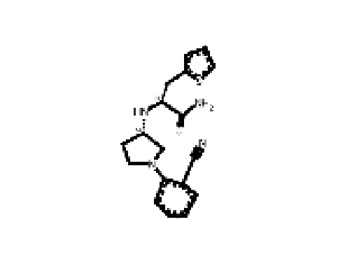 N#Cc1ccccc1N1CC[C@H](N[C@@H](Cc2cccs2)C(N)=O)C1